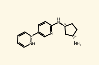 N[C@H]1CC[C@H](Nc2ccc(N3C=CC=CN3)cn2)C1